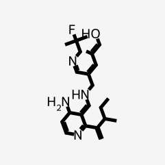 C=C(C1=NC=CC(N)/C1=C\NCC(/C=N\CC(C)(C)F)=C/C(C)=C/O)C(C)CC